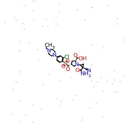 CCN1CCN(c2ccc(S(=O)(=O)C(=O)[C@@H]3C[C@@H](C(=O)O)N(C4CC4(C#N)C(N)=O)C3)c(Cl)c2)CC1